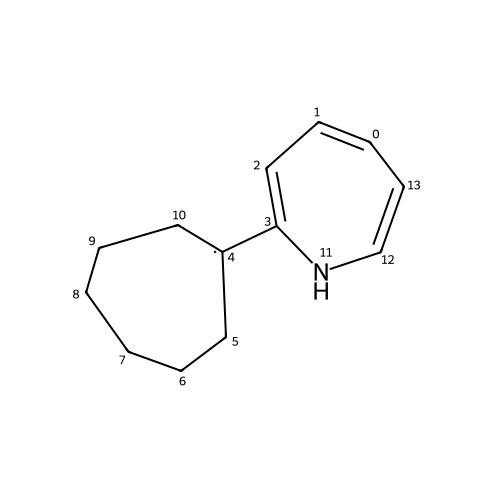 C1=CC=C([C]2CCCCCC2)NC=C1